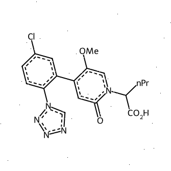 CCCC(C(=O)O)n1cc(OC)c(-c2cc(Cl)ccc2-n2cnnn2)cc1=O